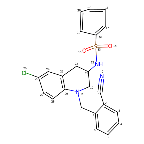 N#Cc1ccccc1CN1CC(NS(=O)(=O)c2ccccc2)Cc2cc(Cl)ccc21